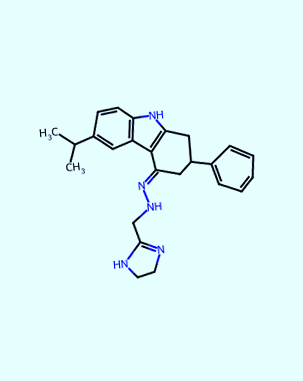 CC(C)c1ccc2[nH]c3c(c2c1)C(=NNCC1=NCCN1)CC(c1ccccc1)C3